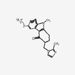 COc1ccc2c(c1)c1c(n2C)CCC(Cn2ccnc2C)C1=O